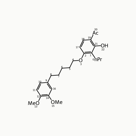 CCCc1c(OCCCCCc2ccc(OC)c(OC)c2)ccc(C(C)=O)c1O